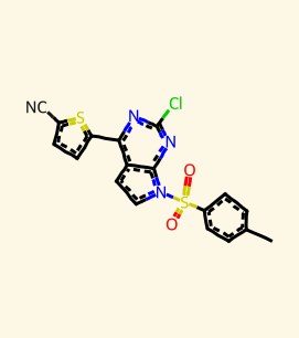 Cc1ccc(S(=O)(=O)n2ccc3c(-c4ccc(C#N)s4)nc(Cl)nc32)cc1